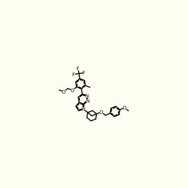 COCOc1cc(C(F)(F)F)cc(C)c1-c1cc2ccn(C34CCCC(OCc5ccc(OC)cc5)(C3)C4)c2nn1